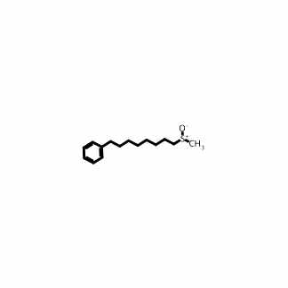 C[S+]([O-])CCCCCCCCc1ccccc1